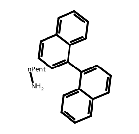 CCCCCN.c1ccc2c(-c3cccc4ccccc34)cccc2c1